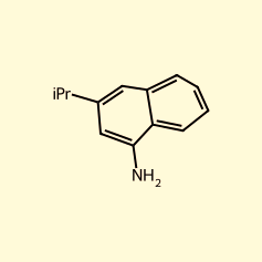 CC(C)c1cc(N)c2ccccc2c1